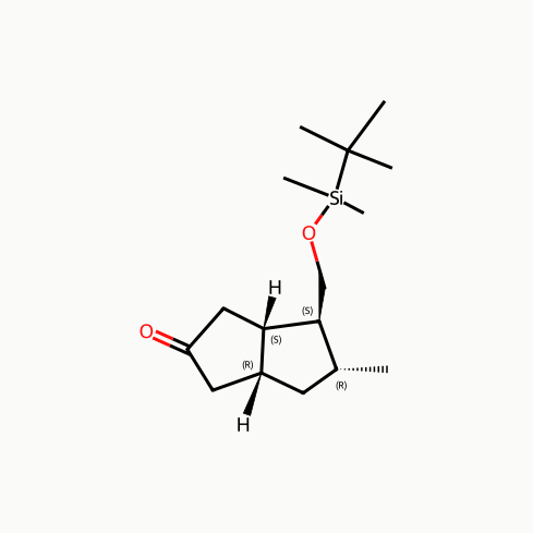 C[C@@H]1C[C@@H]2CC(=O)C[C@@H]2[C@H]1CO[Si](C)(C)C(C)(C)C